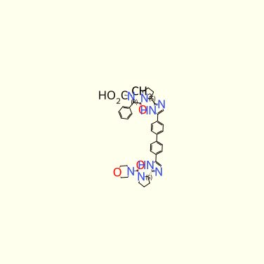 CN(C(=O)O)[C@@H](C(=O)N1CCC[C@H]1c1ncc(-c2ccc(-c3ccc(-c4cnc([C@@H]5CCCN5C(=O)N5CCOCC5)[nH]4)cc3)cc2)[nH]1)c1ccccc1